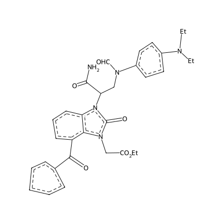 CCOC(=O)Cn1c(=O)n(C(CN(C=O)c2ccc(N(CC)CC)cc2)C(N)=O)c2cccc(C(=O)c3ccccc3)c21